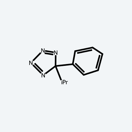 CC(C)C1(c2ccccc2)N=NN=N1